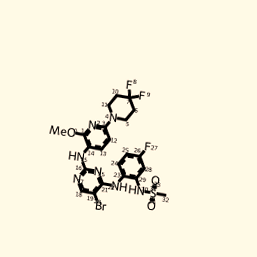 COc1nc(N2CCC(F)(F)CC2)ccc1Nc1ncc(Br)c(Nc2ccc(F)cc2NS(C)(=O)=O)n1